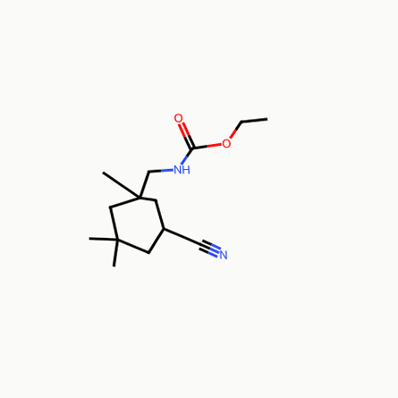 CCOC(=O)NCC1(C)CC(C#N)CC(C)(C)C1